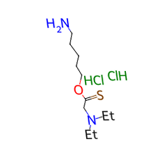 CCN(CC)CC(=S)OCCCCCN.Cl.Cl